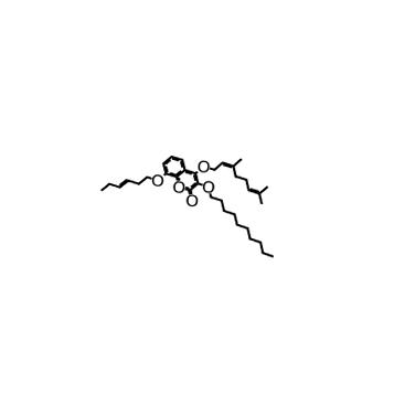 CCC=CCCOc1cccc2c(OCC=C(C)CCC=C(C)C)c(OCCCCCCCCCC)c(=O)oc12